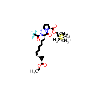 CCOC(=O)[C@H]1C[C@H]1/C=C\CCCCC[C@H](NC(=O)C(F)(F)F)C(=O)N1CCC[C@H]1C(=O)OCCS(C)(C)(C)(C)C